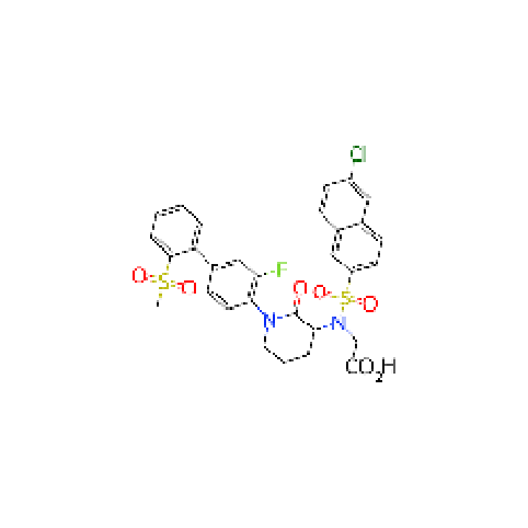 CS(=O)(=O)c1ccccc1-c1ccc(N2CCCC(N(CC(=O)O)S(=O)(=O)c3ccc4cc(Cl)ccc4c3)C2=O)c(F)c1